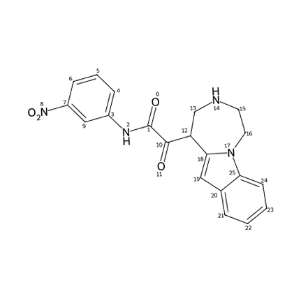 O=C(Nc1cccc([N+](=O)[O-])c1)C(=O)C1CNCCn2c1cc1ccccc12